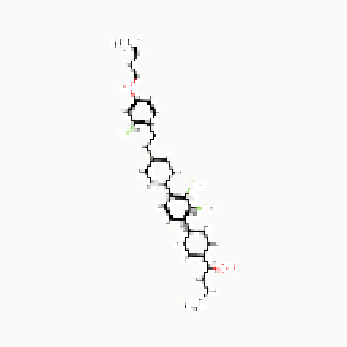 C=CCCOc1ccc(CCC2CCC(c3ccc(C4CCC(C(O)CCC)CC4)c(F)c3F)CC2)c(F)c1